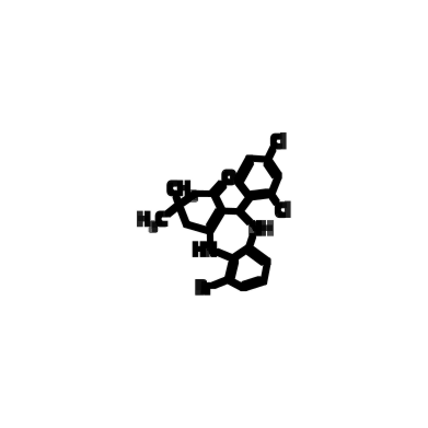 CC1(C)CC(=O)C2=C(C1)Nc1c(Br)cccc1NC2c1ccc(Cl)cc1Cl